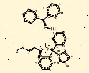 BC=C(c1ccccc1)c1ccccc1.C=C(C=CCC)[SiH2]C(c1ccccc1)(c1ccccc1)n1ccnc1